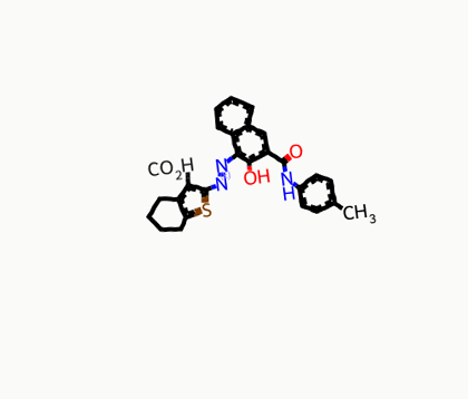 Cc1ccc(NC(=O)c2cc3ccccc3c(/N=N/c3sc4c(c3C(=O)O)CCCC4)c2O)cc1